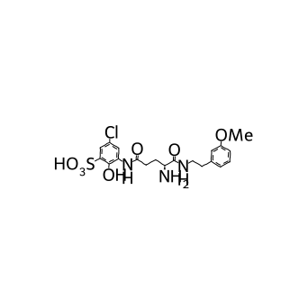 COc1cccc(CCNC(=O)[C@@H](N)CCC(=O)Nc2cc(Cl)cc(S(=O)(=O)O)c2O)c1